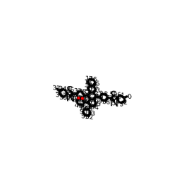 Cc1ccc2nc(-c3ccc(-c4c5cc6ccccc6cc5c(-c5ccc(-c6nc7ccc(C)cc7s6)cc5)c5c(-c6ccccc6)c(-c6ccccc6)ccc45)cc3)sc2c1